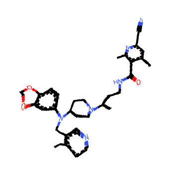 Cc1ccncc1CN(c1ccc2c(c1)OCO2)C1CCN(C(C)CCNC(=O)c2c(C)cc(C#N)nc2C)CC1